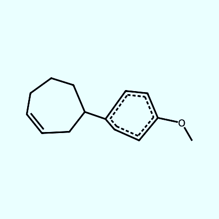 COc1ccc(C2CC=CCCC2)cc1